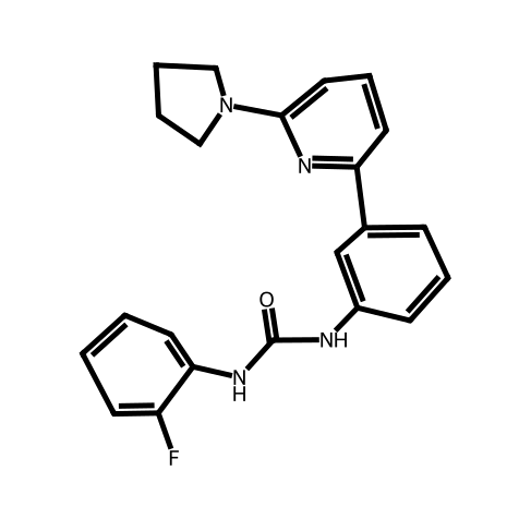 O=C(Nc1cccc(-c2cccc(N3CCCC3)n2)c1)Nc1ccccc1F